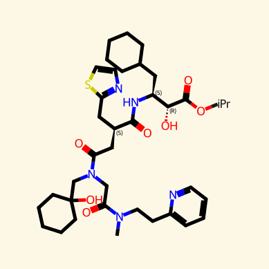 CC(C)OC(=O)[C@H](O)[C@H](CC1CCCCC1)NC(=O)[C@@H](CC(=O)N(CC(=O)N(C)CCc1ccccn1)CC1(O)CCCCC1)Cc1nccs1